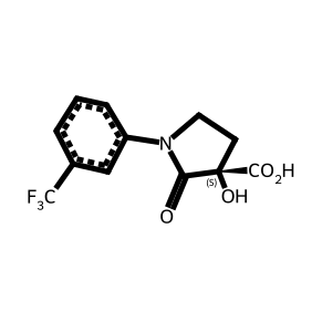 O=C(O)[C@]1(O)CCN(c2cccc(C(F)(F)F)c2)C1=O